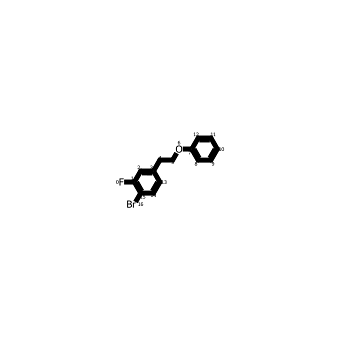 Fc1cc(CCOc2ccccc2)ccc1Br